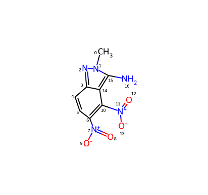 Cn1nc2ccc([N+](=O)[O-])c([N+](=O)[O-])c2c1N